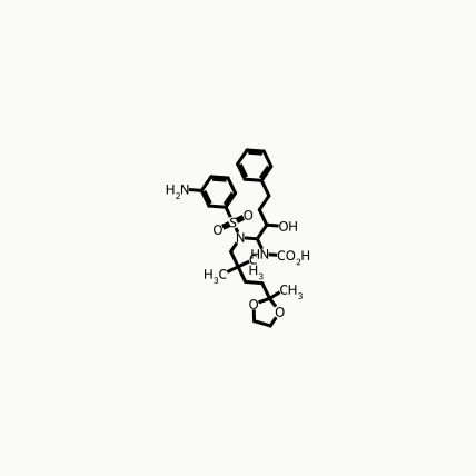 CC(C)(CCC1(C)OCCO1)CN(C(NC(=O)O)C(O)CCc1ccccc1)S(=O)(=O)c1cccc(N)c1